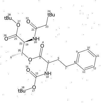 C[C@@H](OC(=O)C(CCc1ccccc1)NC(=O)OC(C)(C)C)[C@H](NC(=O)CC(C)(C)C)C(=O)OC(C)(C)C